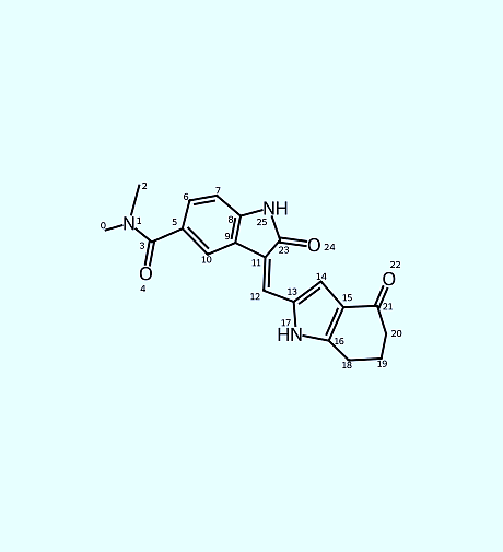 CN(C)C(=O)c1ccc2c(c1)/C(=C/c1cc3c([nH]1)CCCC3=O)C(=O)N2